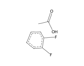 CC(=O)O.Fc1ccccc1F